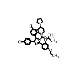 CCOc1ccc(C2=NC(c3ccc(Cl)cc3)C(c3ccc(Cl)cc3)N2C(=O)N2CCC(N3CCCC3)CC2)c(OC(C)C)c1